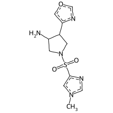 Cn1cnc(S(=O)(=O)N2CC(N)C(c3cocn3)C2)c1